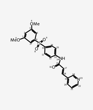 COc1cc(OC)cc(S(=O)(=O)c2ccc(NC(=O)C=Cc3cccnc3)cc2)c1